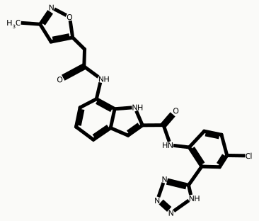 Cc1cc(CC(=O)Nc2cccc3cc(C(=O)Nc4ccc(Cl)cc4-c4nnn[nH]4)[nH]c23)on1